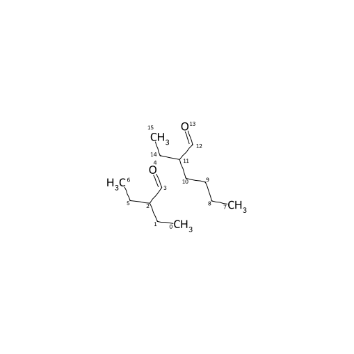 CCC(C=O)CC.CCCCC(C=O)CC